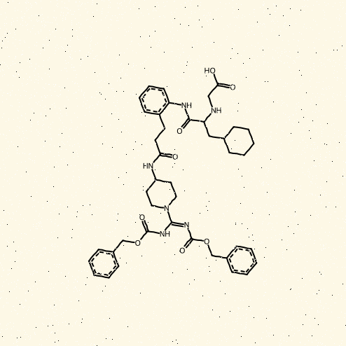 O=C(O)CNC(CC1CCCCC1)C(=O)Nc1ccccc1CCC(=O)NC1CCN(C(=NC(=O)OCc2ccccc2)NC(=O)OCc2ccccc2)CC1